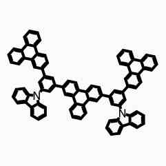 c1ccc2c(c1)c1ccccc1c1cc(-c3cc(-c4ccc5c6ccc(-c7cc(-c8ccc9c%10ccccc%10c%10ccccc%10c9c8)cc(-n8c9ccccc9c9ccccc98)c7)cc6c6ccccc6c5c4)cc(-n4c5ccccc5c5ccccc54)c3)ccc21